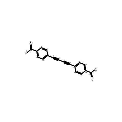 O=C(Cl)c1ccc(C#CC#Cc2ccc(C(=O)Cl)cc2)cc1